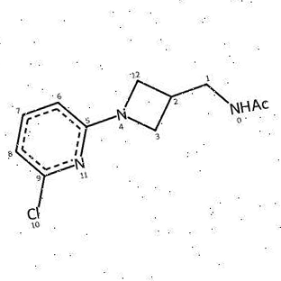 CC(=O)NCC1CN(c2cccc(Cl)n2)C1